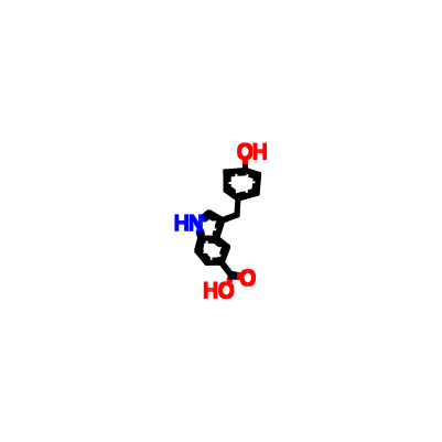 O=C(O)c1ccc2[nH]cc(Cc3ccc(O)cc3)c2c1